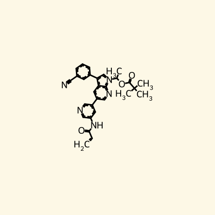 C=CC(=O)Nc1cncc(-c2cnc3c(c2)c(-c2cccc(C#N)c2)cn3C(C)OC(=O)C(C)(C)C)c1